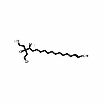 CCCCCCCCC=CCCCCCCCCCCCC(N)C(Cl)(CCO)CCO